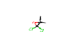 CC1(C)OC1(Cl)Cl